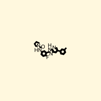 Cc1cccc(-c2cnc3[nH]c(-c4cc(NC(=O)N5CCCC5)ccc4F)nc3c2)c1